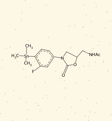 CC(=O)NCC1CN(c2cc[c]([Sn]([CH3])([CH3])[CH3])c(F)c2)C(=O)O1